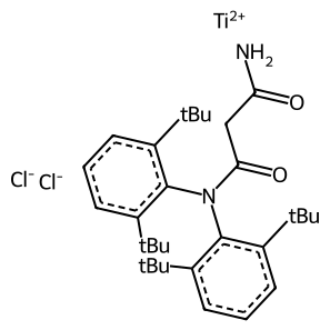 CC(C)(C)c1cccc(C(C)(C)C)c1N(C(=O)CC(N)=O)c1c(C(C)(C)C)cccc1C(C)(C)C.[Cl-].[Cl-].[Ti+2]